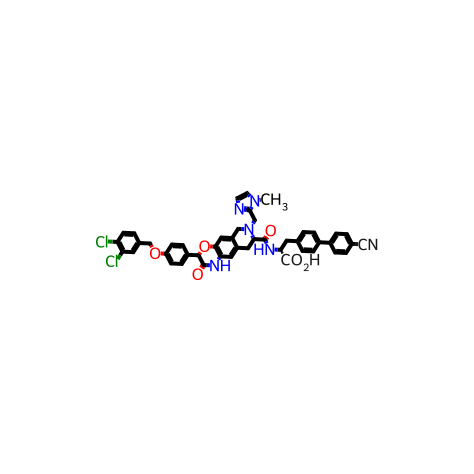 Cn1ccnc1CN1Cc2cc3c(cc2CC1C(=O)N[C@@H](Cc1ccc(-c2ccc(C#N)cc2)cc1)C(=O)O)NC(=O)C(c1ccc(OCc2ccc(Cl)c(Cl)c2)cc1)O3